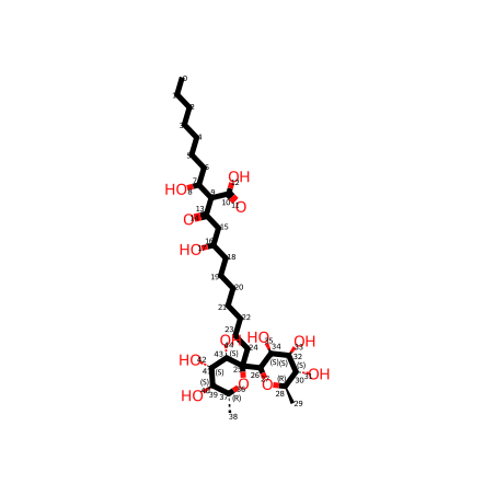 CCCCCCCC(O)C(C(=O)O)C(=O)CC(O)CCCCCCCC1(C2O[C@H](C)[C@@H](O)[C@H](O)[C@@H]2O)O[C@H](C)[C@@H](O)[C@H](O)[C@@H]1O